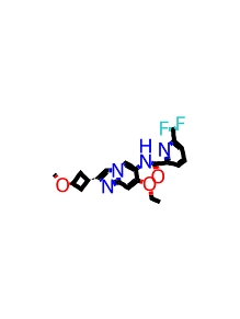 CCOc1cc2nc([C@H]3C[C@H](OC)C3)cn2cc1NC(=O)c1cccc(C(F)F)n1